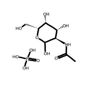 CC(=O)N[C@H]1C(O)O[C@H](CO)[C@H](O)[C@@H]1O.O=P(O)(O)O